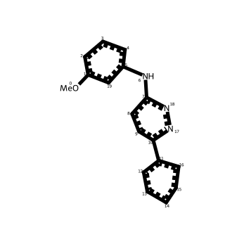 COc1cccc(Nc2ccc(-c3ccccc3)nn2)c1